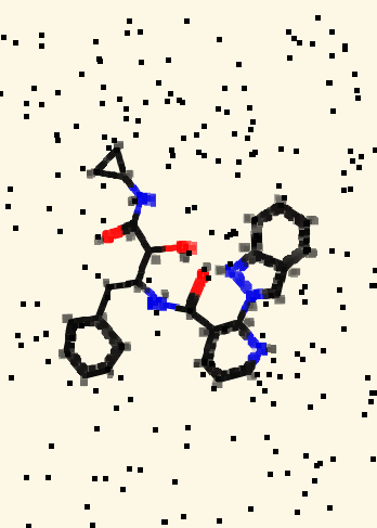 O=C(NC(Cc1ccccc1)C(O)C(=O)NC1CC1)c1cccnc1-n1cc2ccccc2n1